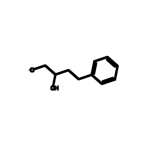 [O]CC(O)CCc1ccccc1